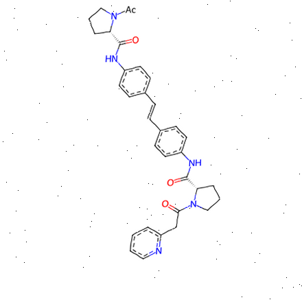 CC(=O)N1CCC[C@H]1C(=O)Nc1ccc(/C=C/c2ccc(NC(=O)[C@@H]3CCCN3C(=O)Cc3ccccn3)cc2)cc1